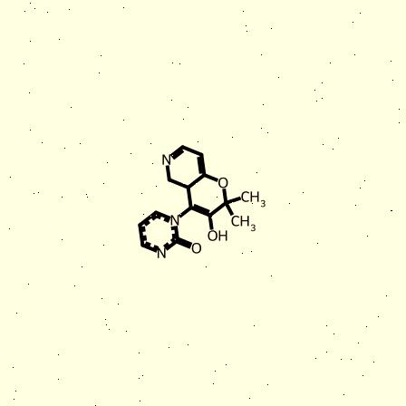 CC1(C)OC2=CC=NCC2C(n2cccnc2=O)=C1O